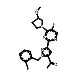 COC1CCN(c2nc(-c3cc(C(C)=O)n(Cc4ccccc4F)n3)ncc2F)C1